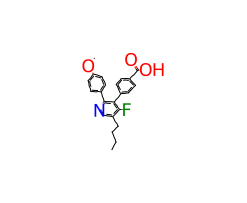 CCCCc1cnc(-c2ccc(OC)cc2)c(-c2ccc(C(=O)O)cc2)c1F